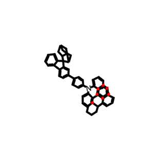 c1ccc(N(c2ccc(-c3ccc4c(c3)C3(c5ccccc5-4)C4CC5CC(C4)C3C5)cc2)c2cccc3ccccc23)c(-c2cccc3cccc(C4CCCCC4)c23)c1